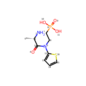 C[C@H](N)C(=O)N(CCP(=O)(O)O)c1cccs1